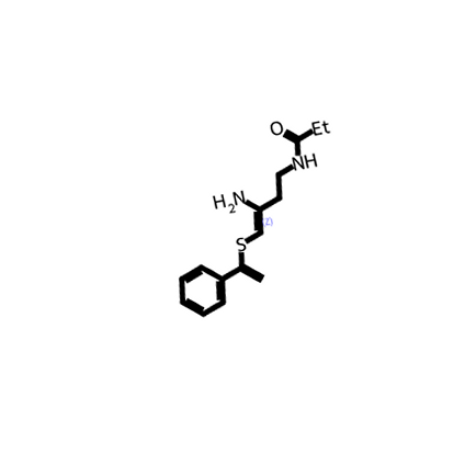 C=C(S/C=C(\N)CCNC(=O)CC)c1ccccc1